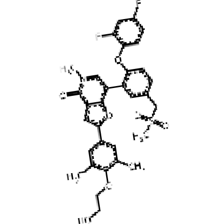 Cc1cc(-c2cc3c(=O)n(C)cc(-c4cc(CS(C)(=O)=O)ccc4Oc4ccc(F)cc4F)c3o2)cc(C)c1OCCO